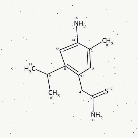 Cc1cc(CC(N)=S)c(C(C)C)cc1N